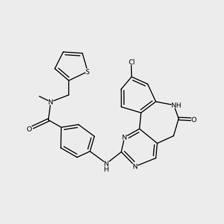 CN(Cc1cccs1)C(=O)c1ccc(Nc2ncc3c(n2)-c2ccc(Cl)cc2NC(=O)C3)cc1